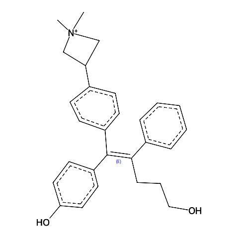 C[N+]1(C)CC(c2ccc(/C(=C(/CCCO)c3ccccc3)c3ccc(O)cc3)cc2)C1